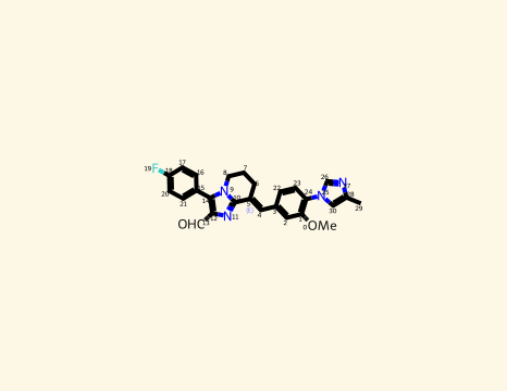 COc1cc(/C=C2\CCCn3c2nc(C=O)c3-c2ccc(F)cc2)ccc1-n1cnc(C)c1